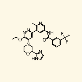 CCOc1nnc(-c2cc(NC(=O)c3cccc(C(F)(F)F)c3)cnc2C)cc1N1CCOC(c2ncc[nH]2)C1